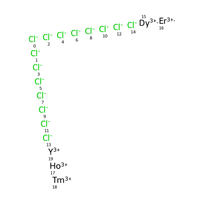 [Cl-].[Cl-].[Cl-].[Cl-].[Cl-].[Cl-].[Cl-].[Cl-].[Cl-].[Cl-].[Cl-].[Cl-].[Cl-].[Cl-].[Cl-].[Dy+3].[Er+3].[Ho+3].[Tm+3].[Y+3]